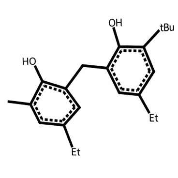 CCc1cc(C)c(O)c(Cc2cc(CC)cc(C(C)(C)C)c2O)c1